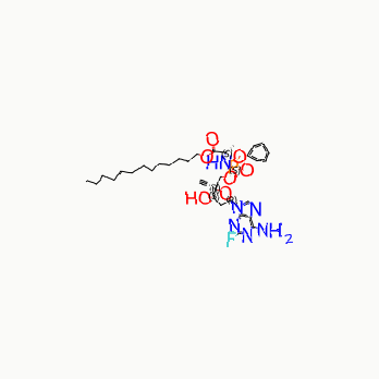 C#C[C@]1(CO[P@@](=O)(N[C@@H](C)C(=O)OCCCCCCCCCCCCC)Oc2ccccc2)O[C@@H](n2cnc3c(N)nc(F)nc32)C[C@@H]1O